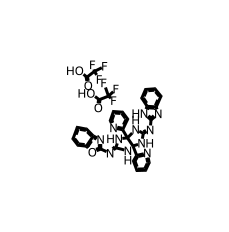 O=C(O)C(F)(F)F.O=C(O)C(F)(F)F.c1ccc(C23NC(=Nc4nc5ccccc5[nH]4)NC2(c2ccccn2)NC(=Nc2nc4ccccc4o2)N3)nc1